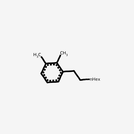 CCCCCCCCc1[c]ccc(C)c1C